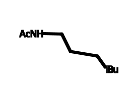 [CH2]C(=O)NCCCC(C)CC